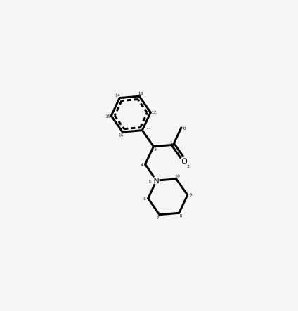 CC(=O)C(CN1CCCCC1)c1ccccc1